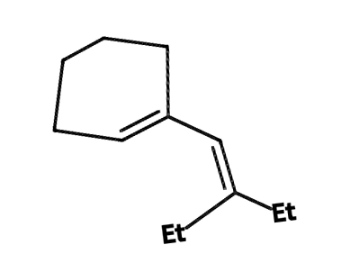 CCC(=CC1=CCCCC1)CC